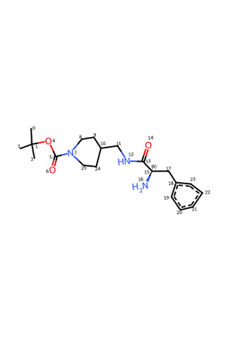 CC(C)(C)OC(=O)N1CCC(CNC(=O)[C@H](N)Cc2ccccc2)CC1